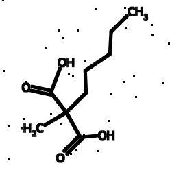 [CH2]C(CCCCC)(C(=O)O)C(=O)O